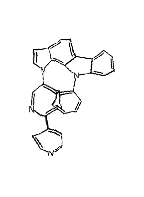 c1ccc(-n2c3ccccc3c3ccc4ccn(-c5cnc(-c6ccncc6)nc5)c4c32)cc1